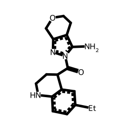 CCc1ccc2c(c1)C(C(=O)n1nc3c(c1N)CCOC3)CCN2